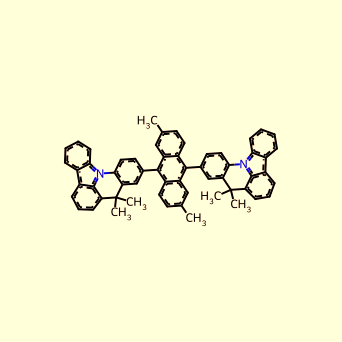 Cc1ccc2c(-c3ccc4c(c3)C(C)(C)c3cccc5c6ccccc6n-4c35)c3cc(C)ccc3c(-c3ccc4c(c3)C(C)(C)c3cccc5c6ccccc6n-4c35)c2c1